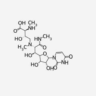 CNC(=O)[C@H]([C@H](O)C1OC(n2ccc(=O)[nH]c2=O)C(O)C1O)N(C)C[C@H](O)[C@H](NC)C(=O)O